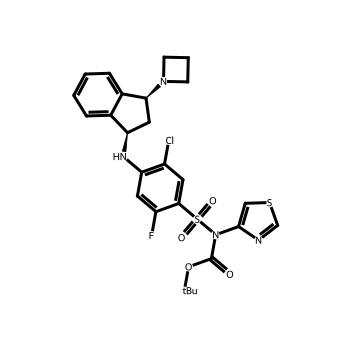 CC(C)(C)OC(=O)N(c1cscn1)S(=O)(=O)c1cc(Cl)c(N[C@@H]2C[C@H](N3CCC3)c3ccccc32)cc1F